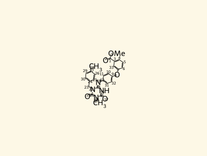 COC(=O)c1cccc(Oc2ccc(/N=c3\[nH]c(=O)n(C)c(=O)n3Cc3ccc(C)cc3)cc2)c1